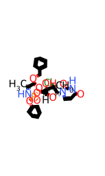 C[C@@H](NP(=O)(Oc1ccccc1)OC1[C@H]2O[C@@H](n3ccc(=O)[nH]c3=O)[C@](C)(Cl)[C@@]12O)C(=O)OCc1ccccc1